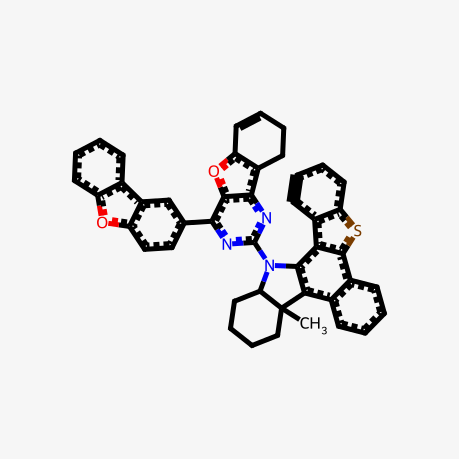 CC12CCCCC1N(c1nc(-c3ccc4oc5ccccc5c4c3)c3oc4c(c3n1)CCC=C4)c1c2c2ccccc2c2sc3ccc#cc3c12